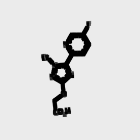 CCn1nc(OCC(=O)O)nc1-c1ccc(F)cn1